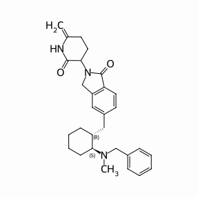 C=C1CCC(N2Cc3cc(C[C@H]4CCCC[C@@H]4N(C)Cc4ccccc4)ccc3C2=O)C(=O)N1